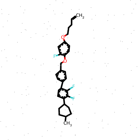 C=CCCCOc1ccc(OCc2ccc(-c3ccc(C4CCC(C)CC4)c(F)c3F)cc2)c(F)c1